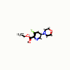 CCOC(=O)C1=C(F)CC(N2CCOCC2)C=N1